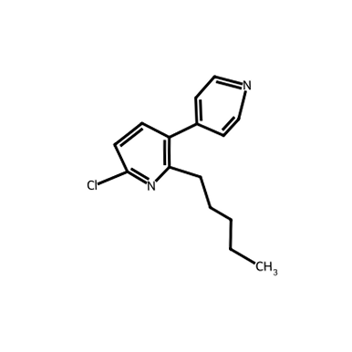 CCCCCc1nc(Cl)ccc1-c1ccncc1